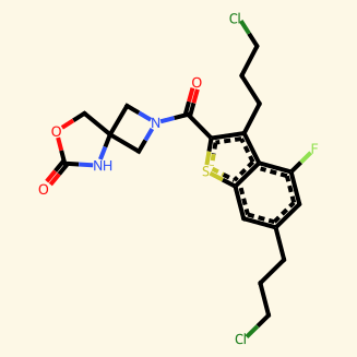 O=C1NC2(CO1)CN(C(=O)c1sc3cc(CCCCl)cc(F)c3c1CCCCl)C2